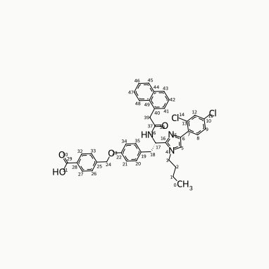 CCCCn1cc(-c2ccc(Cl)cc2Cl)nc1[C@H](Cc1ccc(OCc2ccc(C(=O)O)cc2)cc1)NC(=O)Cc1cccc2ccccc12